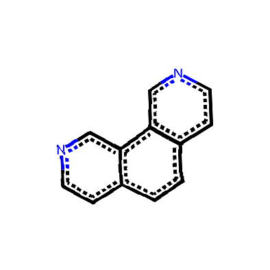 c1cc2ccc3ccncc3c2cn1